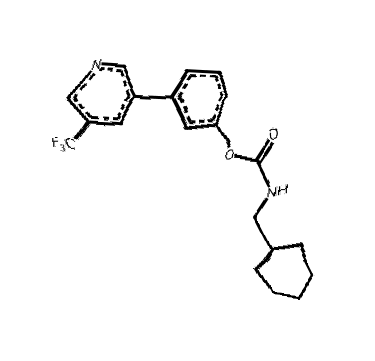 O=C(NCC1CCCCC1)Oc1cccc(-c2cncc(C(F)(F)F)c2)c1